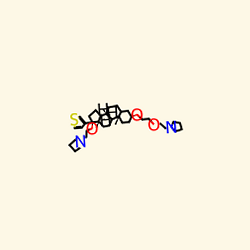 C[C@]12CC[C@H](OCCOCCN3CCCC3)CC1CC[C@@H]1[C@@H]2CC[C@@]2(C)[C@H]1CC[C@@]2(OCCN1CCCC1)c1ccsc1